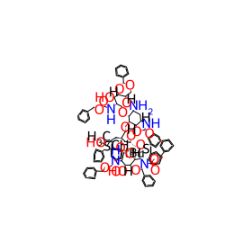 CC(C)(C[C@H]1[C@H](O[C@@H]2[C@H]3OC(=O)N[C@@H]3C[C@H](N)[C@H]2O[C@H]2O[C@@H]3COC(c4ccccc4)O[C@H]3[C@@H](O)[C@H]2NC(=O)OCc2ccccc2)O[C@H](CO[Si](c2ccccc2)(c2ccccc2)C(C)(C)C)[C@H]1O[C@H]1O[C@H]2CN(C(=O)OCc3ccccc3)C(c3ccccc3)O[C@H]2[C@H](O)[C@H]1NC(=O)OCc1ccccc1)[Si](O)(c1ccccc1)c1ccccc1